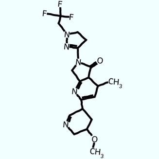 COC1CN=CC(C2=CC(C)C3C(=O)N(C4=NN(CC(F)(F)F)CC4)CC3=N2)C1